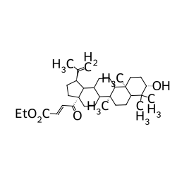 C=C(C)[C@@H]1CC[C@]2(C(=O)/C=C/C(=O)OCC)CCC3C(CCC4[C@@]3(C)CCC3C(C)(C)[C@@H](O)CC[C@@]34C)C12